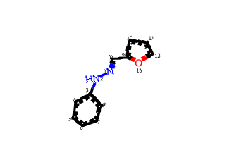 C(=N\Nc1ccccc1)/c1ccco1